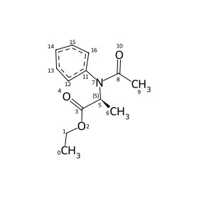 CCOC(=O)[C@H](C)N(C(C)=O)c1ccccc1